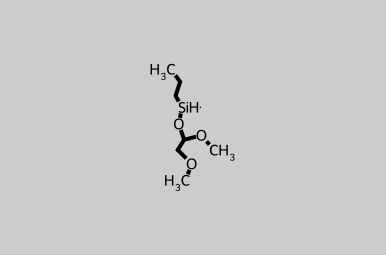 CCC[SiH]OC(COC)OC